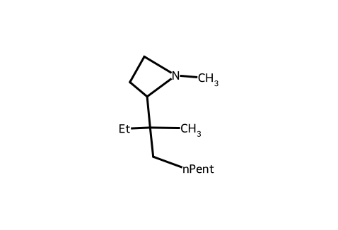 CCCCCCC(C)(CC)C1CCN1C